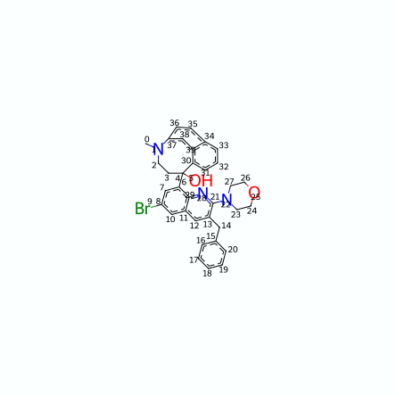 CN1CCC(O)(c2cc(Br)cc3cc(Cc4ccccc4)c(N4CCOCC4)nc23)c2cccc3ccc1cc23